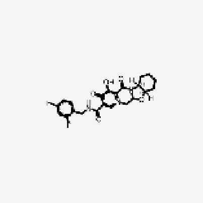 O=C(NCc1ccc(F)cc1F)c1cn2c(c(O)c1=O)C(=O)N1C(C2)O[C@H]2CCCC[C@H]21